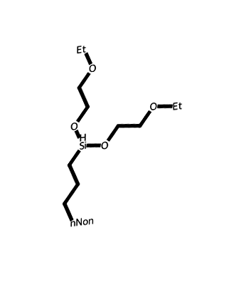 CCCCCCCCCCCC[SiH](OCCOCC)OCCOCC